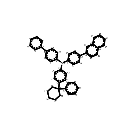 c1ccc(-c2ccc(N(c3ccc(-c4ccc5ccccc5c4)cc3)c3ccc(C4(c5ccccc5)CCCCC4)cc3)cc2)cc1